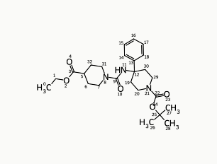 CCOC(=O)C1CCN(C(=O)NC2(c3ccccc3)CCN(C(=O)OC(C)(C)C)CC2)CC1